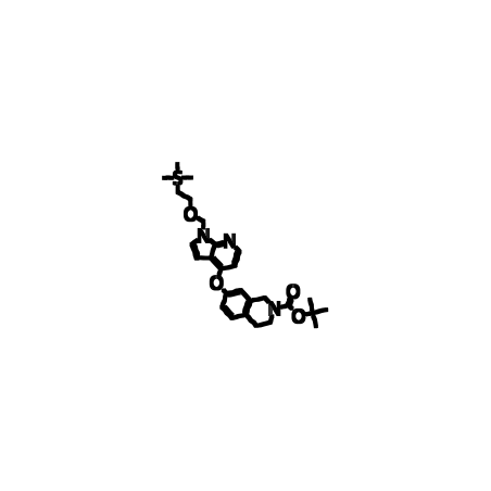 CC(C)(C)OC(=O)N1CCc2ccc(Oc3ccnc4c3ccn4COCCS(C)(C)C)cc2C1